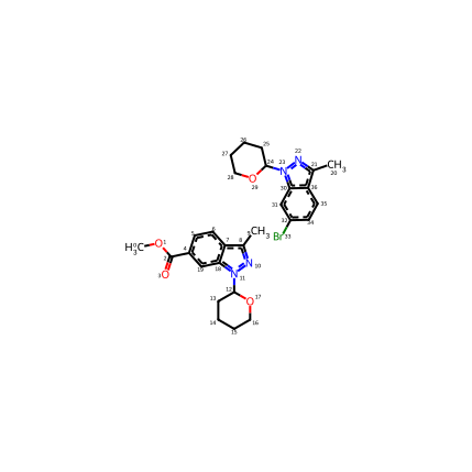 COC(=O)c1ccc2c(C)nn(C3CCCCO3)c2c1.Cc1nn(C2CCCCO2)c2cc(Br)ccc12